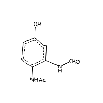 CC(=O)Nc1ccc(O)cc1NC=O